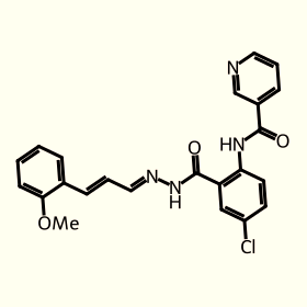 COc1ccccc1C=CC=NNC(=O)c1cc(Cl)ccc1NC(=O)c1cccnc1